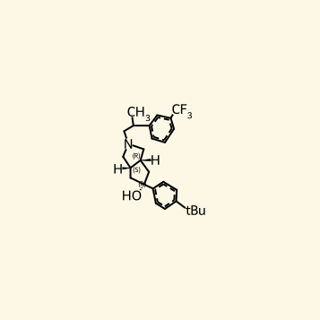 CC(CN1C[C@@H]2C[C@@](O)(c3ccc(C(C)(C)C)cc3)C[C@@H]2C1)c1cccc(C(F)(F)F)c1